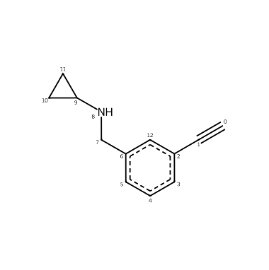 C#Cc1cccc(CNC2CC2)c1